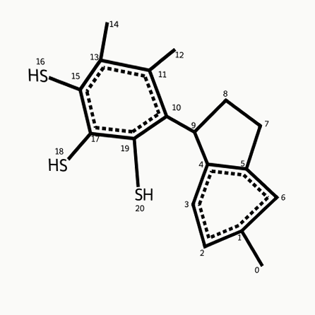 Cc1ccc2c(c1)CCC2c1c(C)c(C)c(S)c(S)c1S